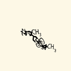 Cc1cc(S(=O)(=O)N2CCC(c3cn4ncnc4cc3C)CC2)sn1